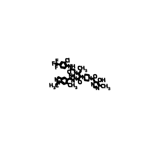 CCc1c(N2CCN(C(=O)c3ncnc(C)c3O)CC2)c(=O)n2nc(-c3cc4cnn(C)c4cc3C)nc2n1CC(=O)Nc1ccc(C(F)(F)F)cc1Cl